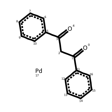 O=C(CC(=O)c1ccccc1)c1ccccc1.[Pd]